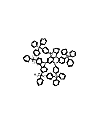 CC(C)(c1ccccc1)c1ccc2c(c1)c1cc(C(C)(C)c3ccccc3)ccc1n2-c1cc2c3c(c1)N(c1ccc([Si](c4ccccc4)(c4ccccc4)c4ccccc4)cc1)c1ccc([Si](c4ccccc4)(c4ccccc4)c4ccccc4)cc1B3c1ccccc1N2c1ccc([Si](c2ccccc2)(c2ccccc2)c2ccccc2)cc1